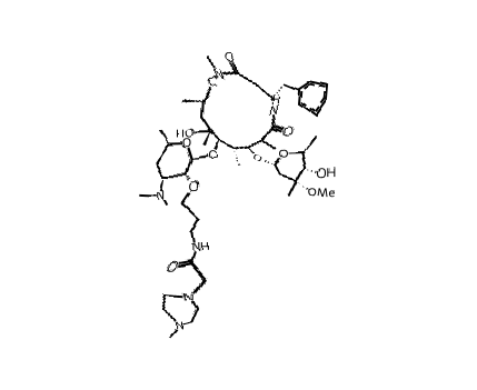 CO[C@]1(C)C[C@H](O[C@@H]2C(C)C(=O)N[C@@H](Cc3ccccc3)CC(=O)N(C)C[C@H](C)C[C@@](C)(O)[C@H](O[C@@H]3O[C@H](C)C[C@H](N(C)C)[C@H]3OCCCNC(=O)CN3CCN(C)CC3)[C@H]2C)O[C@@H](C)[C@@H]1O